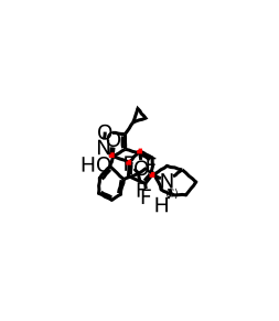 O=C(O)c1ccc(N2C3CC[C@H]2CC(OCc2c(-c4ccccc4C(F)(F)F)noc2C2CC2)C3)c(F)c1